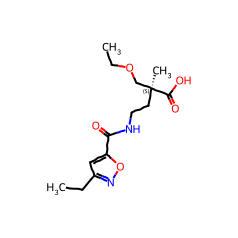 CCOC[C@](C)(CCNC(=O)c1cc(CC)no1)C(=O)O